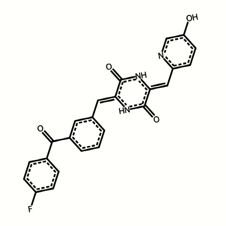 O=C(c1ccc(F)cc1)c1cccc(C=c2[nH]c(=O)c(=Cc3ccc(O)cn3)[nH]c2=O)c1